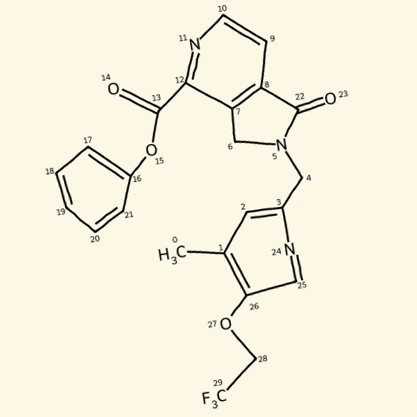 Cc1cc(CN2Cc3c(ccnc3C(=O)Oc3ccccc3)C2=O)ncc1OCC(F)(F)F